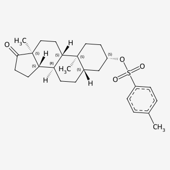 Cc1ccc(S(=O)(=O)O[C@H]2CC[C@@]3(C)[C@@H](CC[C@@H]4[C@@H]3CC[C@]3(C)C(=O)CC[C@@H]43)C2)cc1